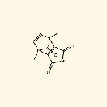 CC12C=CC(C)(C3=C1C(=O)NC3=O)[S+]2[O-]